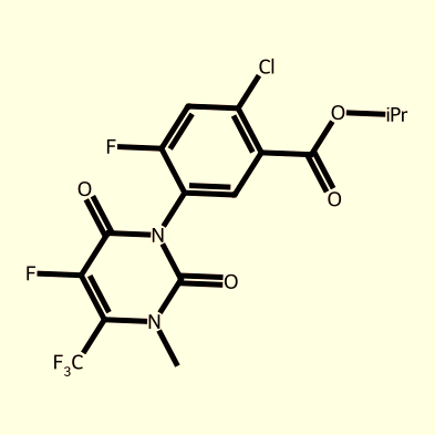 CC(C)OC(=O)c1cc(-n2c(=O)c(F)c(C(F)(F)F)n(C)c2=O)c(F)cc1Cl